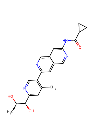 Cc1cc([C@@H](O)[C@@H](C)O)ncc1-c1cc2cnc(NC(=O)C3CC3)cc2cn1